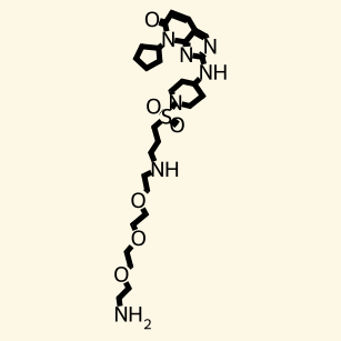 NCCOCCOCCOCCNCCCS(=O)(=O)N1CCC(Nc2ncc3ccc(=O)n(C4CCCC4)c3n2)CC1